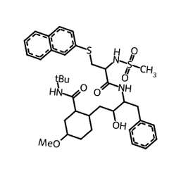 COC1CCC(CC(O)C(Cc2ccccc2)NC(=O)C(CSc2ccc3ccccc3c2)NS(C)(=O)=O)C(C(=O)NC(C)(C)C)C1